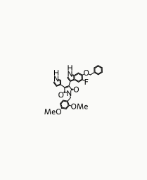 COc1ccc(CN2C(=O)C(c3cc[nH]c3)=C(c3c[nH]c4cc(OCc5ccccc5)c(F)cc34)C2=O)c(OC)c1